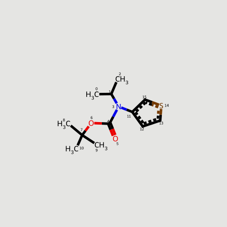 CC(C)N(C(=O)OC(C)(C)C)c1ccsc1